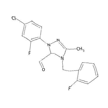 CC1=NN(c2ccc(Cl)cc2F)C(C=O)N1Cc1ccccc1F